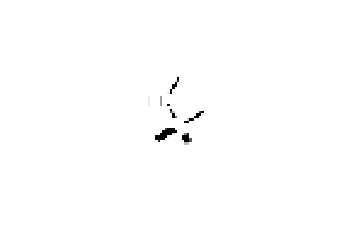 C=S(C)(=O)NC